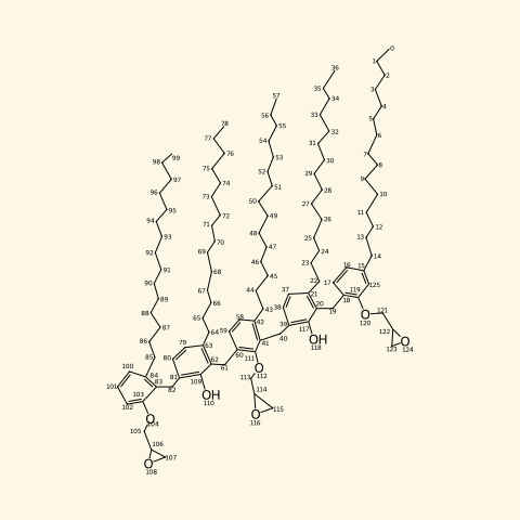 CCCCCCCCCCCCCCCc1ccc(Cc2c(CCCCCCCCCCCCCCC)ccc(Cc3c(CCCCCCCCCCCCCCC)ccc(Cc4c(CCCCCCCCCCCCCCC)ccc(Cc5c(CCCCCCCCCCCCCCC)cccc5OCC5CO5)c4O)c3OCC3CO3)c2O)c(OCC2CO2)c1